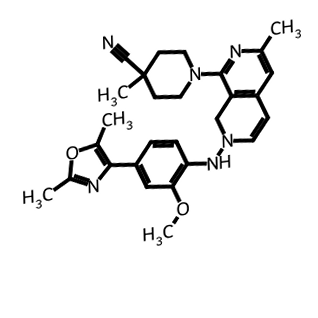 COc1cc(-c2nc(C)oc2C)ccc1NN1C=Cc2cc(C)nc(N3CCC(C)(C#N)CC3)c2C1